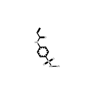 C=CC(=O)Nc1ccc(S(=O)(=O)NCCC)cc1